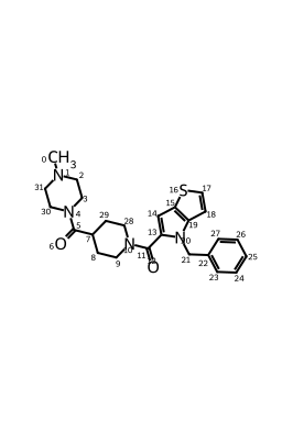 CN1CCN(C(=O)C2CCN(C(=O)c3cc4sccc4n3Cc3ccccc3)CC2)CC1